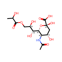 CC(=O)N[C@H]1[C@H]([C@H](O)[C@H](O)COC(=O)C(C)O)O[C@](O)(C(=O)O)C[C@@H]1O